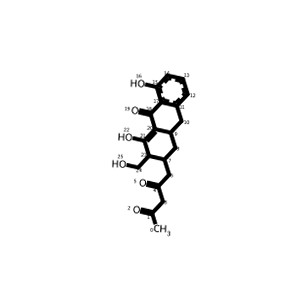 CC(=O)CC(=O)CC1CC2Cc3cccc(O)c3C(=O)C2=C(O)C1CO